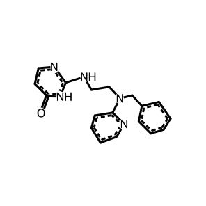 O=c1ccnc(NCCN(Cc2ccccc2)c2ccccn2)[nH]1